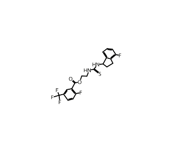 O=C(OCCNC(=S)NC1CCc2c(F)cccc21)c1cc(C(F)(F)F)ccc1F